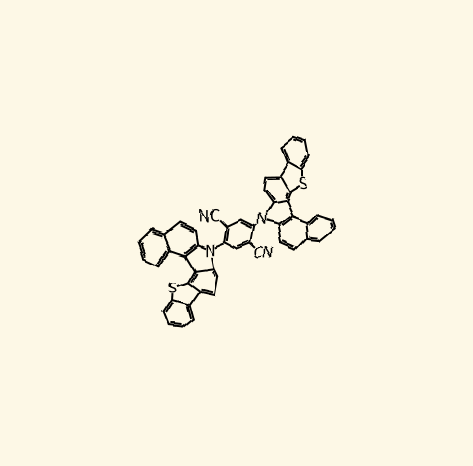 N#Cc1cc(-n2c3ccc4ccccc4c3c3c4sc5ccccc5c4ccc32)c(C#N)cc1-n1c2ccc3ccccc3c2c2c3sc4ccccc4c3ccc21